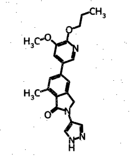 CCCOc1ncc(-c2cc(C)c3c(c2)CN(c2cn[nH]c2)C3=O)cc1OC